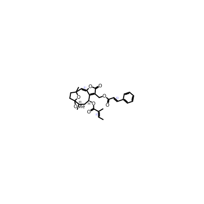 C/C=C(\C)C(=O)O[C@H]1C[C@@H](C)C2(OC)CCC(C)(/C=C3/OC(=O)C(COC(=O)/C=C/c4ccccc4)=C31)O2